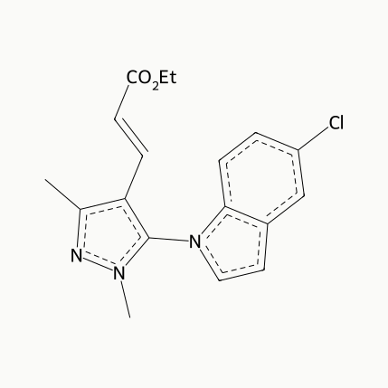 CCOC(=O)/C=C/c1c(C)nn(C)c1-n1ccc2cc(Cl)ccc21